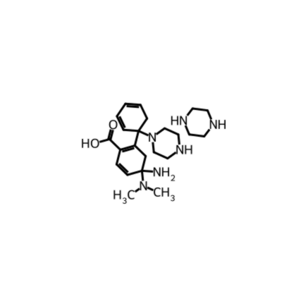 C1CNCCN1.CN(C)C1(N)C=CC(C(=O)O)=C(C2(N3CCNCC3)C=CC=CC2)C1